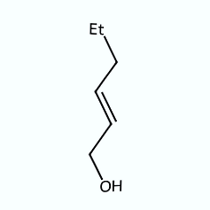 [CH2]CCC=CCO